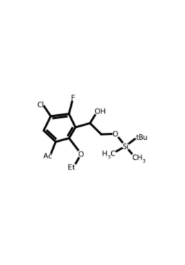 CCOc1c(C(C)=O)cc(Cl)c(F)c1C(O)CO[Si](C)(C)C(C)(C)C